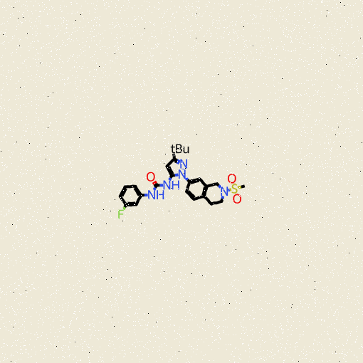 CC(C)(C)c1cc(NC(=O)Nc2cccc(F)c2)n(-c2ccc3c(c2)CN(S(C)(=O)=O)CC3)n1